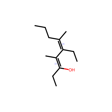 CCC/C(C)=C(CC)\C(C)=C(/O)CC